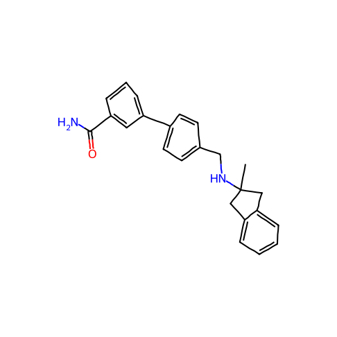 CC1(NCc2ccc(-c3cccc(C(N)=O)c3)cc2)Cc2ccccc2C1